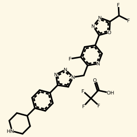 Fc1cc(-c2nnc(C(F)F)o2)cnc1Cn1cc(-c2ccc(C3CCNCC3)cc2)nn1.O=C(O)C(F)(F)F